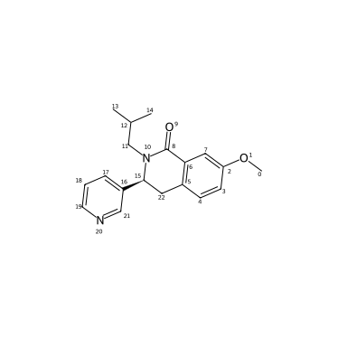 COc1ccc2c(c1)C(=O)N(CC(C)C)[C@H](c1cccnc1)C2